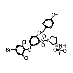 COc1ccc(COc2ccc(Oc3c(Cl)cc(Br)cc3Cl)cc2S(=O)(=O)N2CC[C@H](NS(C)(=O)=O)C2)cc1